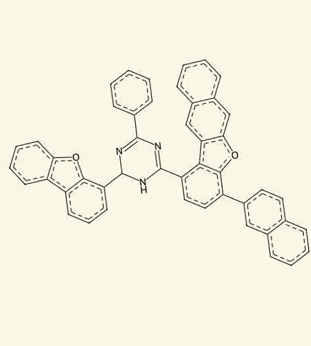 c1ccc(C2=NC(c3cccc4c3oc3ccccc34)NC(c3ccc(-c4ccc5ccccc5c4)c4oc5cc6ccccc6cc5c34)=N2)cc1